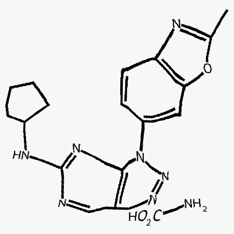 Cc1nc2ccc(-n3nnc4cnc(NC5CCCC5)nc43)cc2o1.NC(=O)O